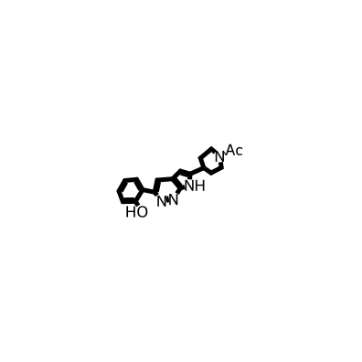 CC(=O)N1CCC(c2cc3cc(-c4ccccc4O)nnc3[nH]2)CC1